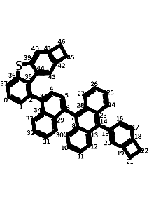 c1cc(-c2ccc(-c3c4ccccc4c(-c4ccc5c(c4)CC5)c4ccccc34)c3ccccc23)c2c(c1)sc1cc3c(cc12)CC3